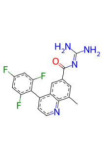 Cc1cc(C(=O)N=C(N)N)cc2c(-c3c(F)cc(F)cc3F)ccnc12